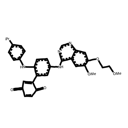 COCCOc1cc2ncnc(Nc3ccc(Nc4ccc(C(C)C)cc4)c(C4=CC(=O)C=CC4=O)c3)c2cc1OC